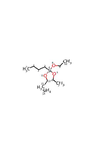 CCCC[Si](OCC)(OCC)OCC.[SiH4]